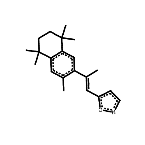 CC(=Cc1ccno1)c1cc2c(cc1C)C(C)(C)CCC2(C)C